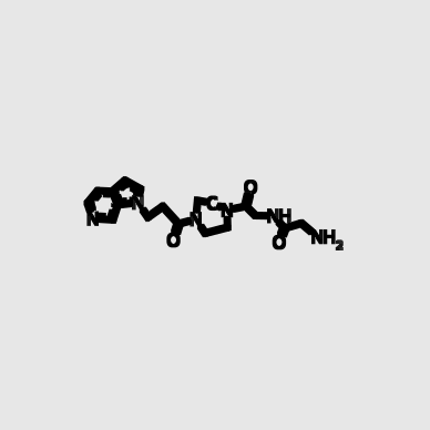 NCC(=O)NCC(=O)N1CCN(C(=O)CCn2ccc3ccncc32)CC1